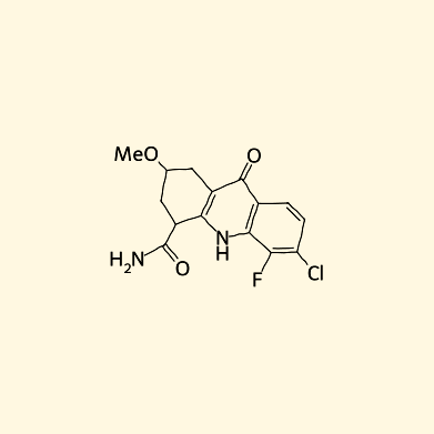 COC1Cc2c([nH]c3c(F)c(Cl)ccc3c2=O)C(C(N)=O)C1